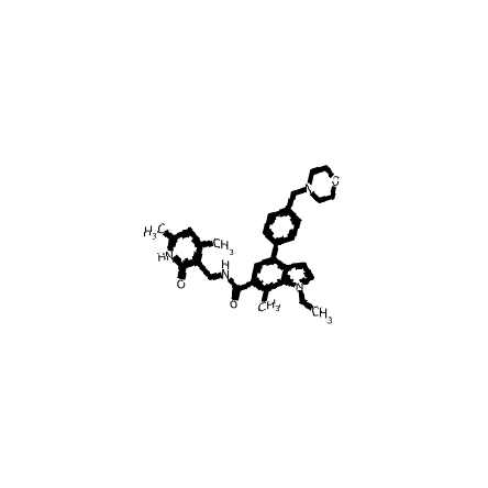 CCn1ccc2c(-c3ccc(CN4CCOCC4)cc3)cc(C(=O)NCc3c(C)cc(C)[nH]c3=O)c(C)c21